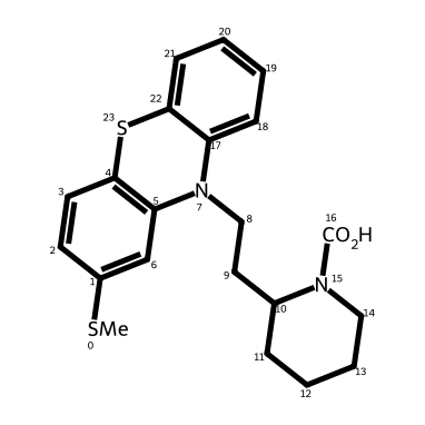 CSc1ccc2c(c1)N(CCC1CCCCN1C(=O)O)c1ccccc1S2